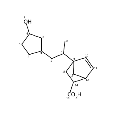 CC(CC1CCC(O)C1)C12C=CC(C1)C(C(=O)O)C2